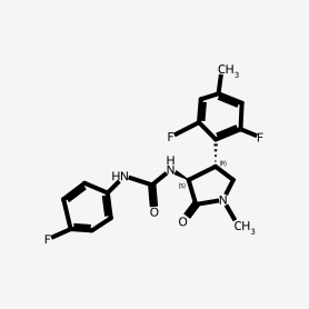 Cc1cc(F)c([C@@H]2CN(C)C(=O)[C@H]2NC(=O)Nc2ccc(F)cc2)c(F)c1